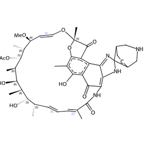 CO[C@H]1/C=C/O[C@@]2(C)Oc3c(C)c(O)c4c(c3C2=O)C2=NC3(NC2=C(NC(=O)/C(C)=C\C=C\[C@H](C)[C@H](O)[C@@H](C)[C@@H](O)[C@@H](C)[C@H](OC(C)=O)[C@@H]1C)C4=O)C1CCC3CNC1